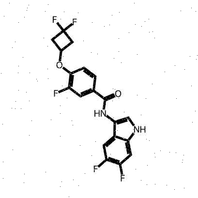 O=C(Nc1c[nH]c2cc(F)c(F)cc12)c1ccc(OC2CC(F)(F)C2)c(F)c1